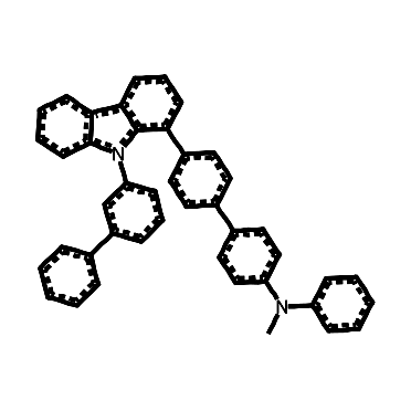 CN(c1ccccc1)c1ccc(-c2ccc(-c3cccc4c5ccccc5n(-c5cccc(-c6ccccc6)c5)c34)cc2)cc1